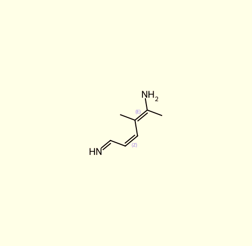 C/C(N)=C(C)\C=C/C=N